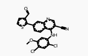 COc1cc(Nc2c(C#N)cnc3cc(-c4sccc4C=O)ccc23)c(Cl)cc1Cl